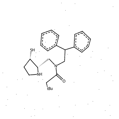 CC(C)(C)CC(=O)N(CC(c1ccccc1)c1ccccc1)C[C@@H]1NCC[C@@H]1S